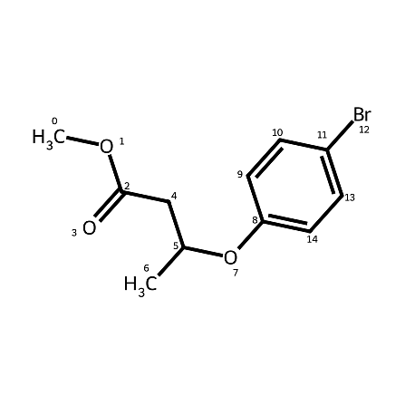 COC(=O)CC(C)Oc1ccc(Br)cc1